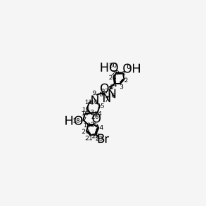 Oc1ccc(-c2nnc(CN3CCC4(CC3)CC(O)c3ccc(Br)cc3O4)o2)cc1O